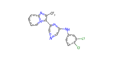 FC(F)(F)c1nc2ccccn2c1-c1cncc(Nc2ccc(Cl)c(Cl)c2)n1